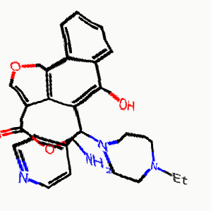 CCN1CCN(C(c2ccncc2)c2c(O)c3ccccc3c3occ(C(=O)OCN)c23)CC1